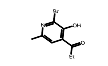 CCC(=O)c1cc(C)nc(Br)c1O